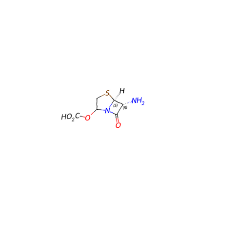 N[C@@H]1C(=O)N2C(OC(=O)O)CS[C@@H]12